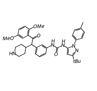 COc1ccc(OC)c(C(=O)C(c2cccc(NC(=O)Nc3cc(C(C)(C)C)nn3-c3ccc(C)cc3)c2)C2CCNCC2)c1